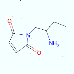 CCC(N)CN1C(=O)C=CC1=O